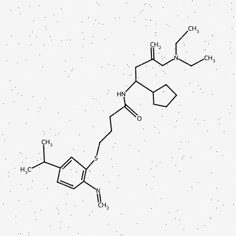 C=Nc1ccc(C(C)C)cc1SCCCC(=O)NC(CC(=C)CN(CC)CC)C1CCCC1